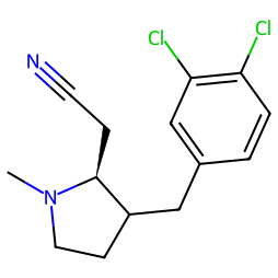 CN1CCC(Cc2ccc(Cl)c(Cl)c2)[C@@H]1CC#N